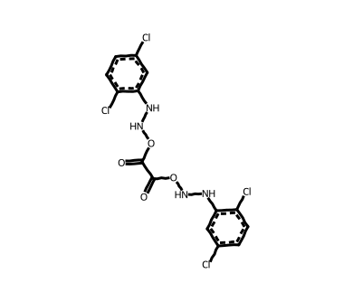 O=C(ONNc1cc(Cl)ccc1Cl)C(=O)ONNc1cc(Cl)ccc1Cl